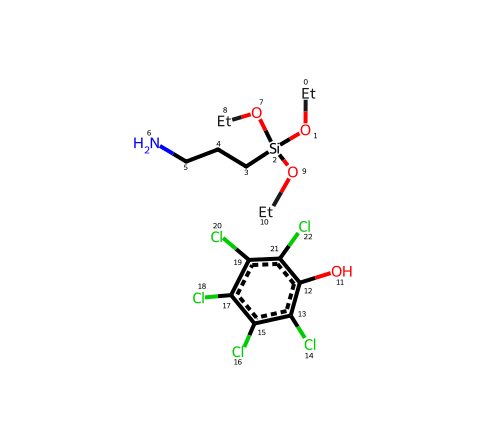 CCO[Si](CCCN)(OCC)OCC.Oc1c(Cl)c(Cl)c(Cl)c(Cl)c1Cl